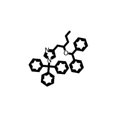 CCCC(Cc1cn(C(c2ccccc2)(c2ccccc2)c2ccccc2)cn1)OC(c1ccccc1)c1ccccc1